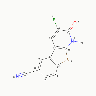 Cn1c(=O)c(F)cc2c3cc(C#N)ccc3sc21